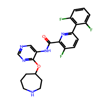 O=C(Nc1cncnc1OC1CCCNCC1)c1nc(-c2c(F)cccc2F)ccc1F